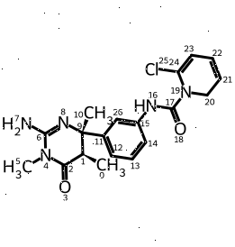 C[C@H]1C(=O)N(C)C(N)=N[C@]1(C)c1cccc(NC(=O)N2CC=CC=C2Cl)c1